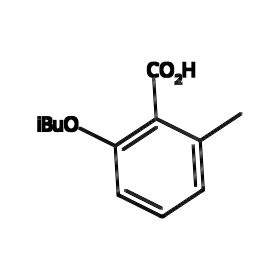 Cc1cccc(OCC(C)C)c1C(=O)O